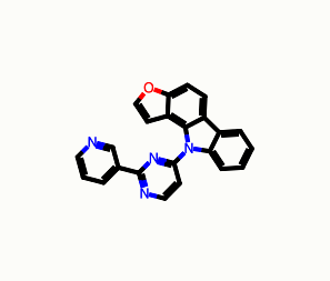 c1cncc(-c2nccc(-n3c4ccccc4c4ccc5occc5c43)n2)c1